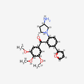 COc1cc(C(=O)c2cc(-c3ccco3)ccc2N2CC[C@@H](N)C2)cc(OC)c1OC